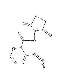 [N-]=[N+]=NC1=CC=COC1C(=O)ON1C(=O)CCC1=O